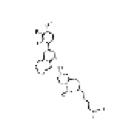 COc1ccc(C2=CN=C3/C(=C\C=C/C/C=C/3Nc3ccc4c(c3)CCC(CCCCC(C)=N)CC4=O)C2)c(F)c1F